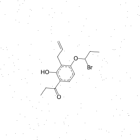 C=CCc1c(OC(Br)CC)ccc(C(=O)CC)c1O